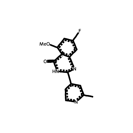 COc1cc(F)cc2nc(-c3ccnc(C)c3)[nH]c(=O)c12